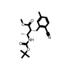 COC(=O)[C@H](Cc1cc(C)ccc1C#N)[C@@H](C)NC(=O)OC(C)(C)C